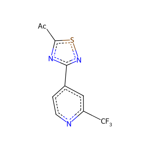 CC(=O)c1nc(-c2ccnc(C(F)(F)F)c2)ns1